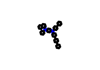 c1ccc(-c2ccc(-c3ccc(N(c4ccc(-c5ccccc5)cc4)c4ccc(N(c5ccccc5)c5cccc6ccccc56)cc4)cc3)cc2)cc1